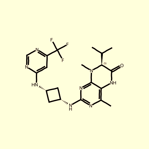 Cc1nc(N[C@H]2C[C@@H](Nc3cc(C(F)(F)F)ncn3)C2)nc2c1NC(=O)[C@H](C(C)C)N2C